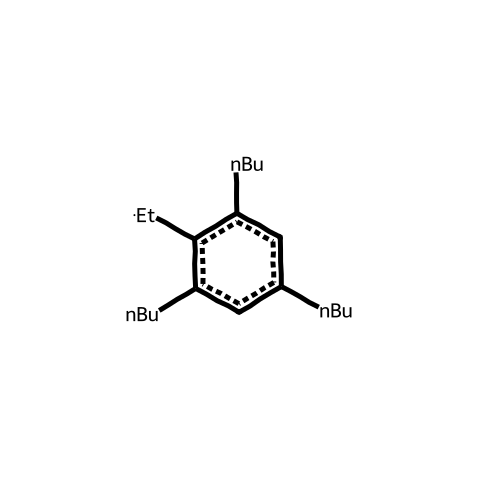 C[CH]c1c(CCCC)cc(CCCC)cc1CCCC